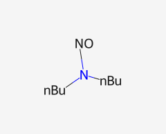 CCCCN(CCCC)N=O